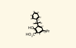 CC(C)c1cc(C(=O)O)c(O)c(C(C)(C)c2ccccc2)c1